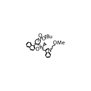 COCCCn1cc(CN(C(=O)[C@H]2CN(C(=O)OC(C)(C)C)CC[C@@H]2c2cccc3ccccc23)C2CC2)c2ccccc21